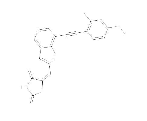 COc1ccc(C#Cc2cncc3cc(/C=C4/SC(=S)NC4=O)oc23)c(C)c1